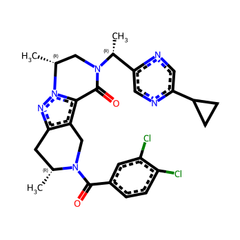 C[C@@H]1Cc2nn3c(c2CN1C(=O)c1ccc(Cl)c(Cl)c1)C(=O)N([C@H](C)c1cnc(C2CC2)cn1)C[C@H]3C